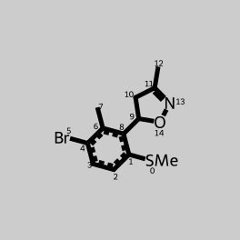 CSc1ccc(Br)c(C)c1C1CC(C)=NO1